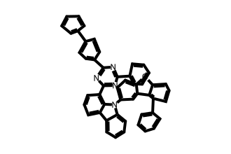 c1ccc(-c2ccc(-c3nc(-c4ccccc4)nc(-c4cccc5c6ccccc6n(-c6ccc7oc8cccc(-c9ccccc9)c8c7c6)c45)n3)cc2)cc1